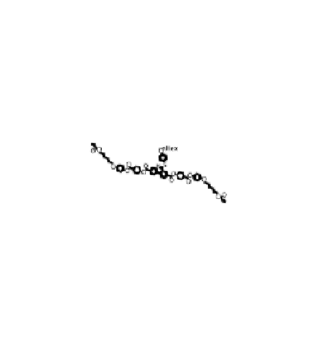 C=CC(=O)OCCCCCCOc1ccc(OC(=O)C2CCC(OC(=O)c3ccc4c(c3)nc(Sc3ccc(OCCCCCC)cc3)c3cc(C(=O)OC5CCC(C(=O)Oc6ccc(OCCCCCCOC(=O)C=C)cc6)CC5)ccc34)CC2)cc1